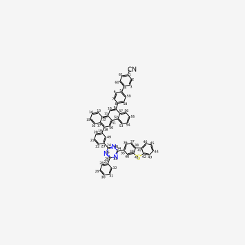 N#Cc1ccc(-c2ccc(-c3cc4c5ccccc5c(-c5cccc(-c6nc(-c7ccccc7)nc(-c7ccc8c(c7)sc7ccccc78)n6)c5)cc4c4ccccc34)cc2)cc1